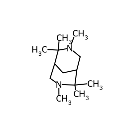 CN1CC2CC(CN(C)C2(C)C)C1(C)C